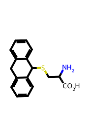 NC(CSC1c2ccccc2Cc2ccccc21)C(=O)O